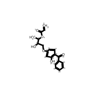 C=CC(=O)OC(C)C(O)COc1ccc(C(=O)c2ccccc2)c(O)c1